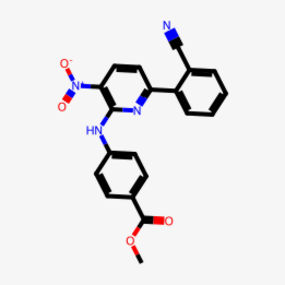 COC(=O)c1ccc(Nc2nc(-c3ccccc3C#N)ccc2[N+](=O)[O-])cc1